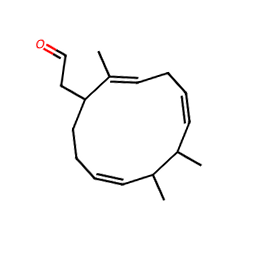 C/C1=C\C/C=C\C(C)C(C)/C=C\CCC1CC=O